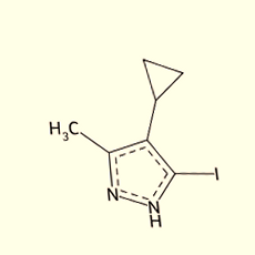 Cc1n[nH]c(I)c1C1CC1